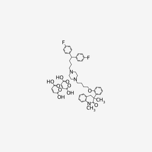 CN1C(=O)C(C)(c2ccccc2OCCCCN2CCN(CCCC(c3ccc(F)cc3)c3ccc(F)cc3)CC2)Cc2ccccc21.O=C(O)/C=C\C(=O)O.O=C(O)/C=C\C(=O)O